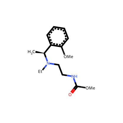 CCN(CCNC(=O)OC)[C@@H](C)c1ccccc1OC